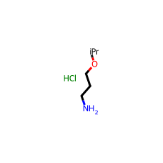 CC(C)OCCCN.Cl